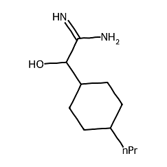 CCCC1CCC(C(O)C(=N)N)CC1